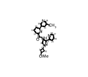 COC1CC(n2cc(NC(=O)c3cccc(-c4cncc(C)c4)n3)c(-c3ccccn3)n2)C1